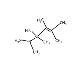 CC(C)=C(C)[Si](C)(C)N(C)[SiH3]